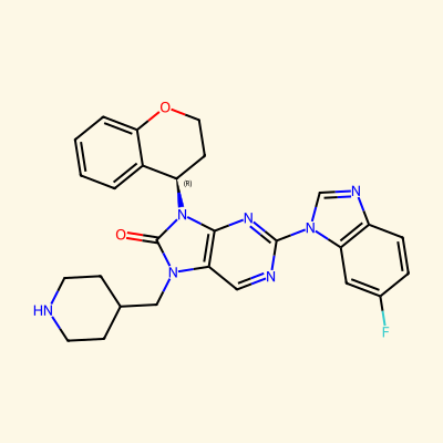 O=c1n(CC2CCNCC2)c2cnc(-n3cnc4ccc(F)cc43)nc2n1[C@@H]1CCOc2ccccc21